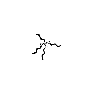 CCC[CH][Si](OCCCC)(OCCCC)OCCCC